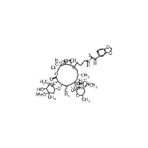 CC[C@H]1OC(=O)[C@H](C)[C@@H](O[C@H]2C[C@@](C)(OC)[C@@H](O)[C@H](C)O2)[C@H](C)[C@@H](O[C@@H]2O[C@H](C)C[C@H](N(C)C)[C@H]2O)[C@](C)(O)C[C@@H](C)CN(CCCNC(=S)Nc2ccc3c(c2)OCO3)[C@H](C)[C@@H](O)[C@]1(C)O